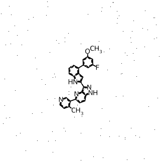 COc1cc(F)cc(-c2cccc3[nH]c(-c4n[nH]c5ccc(-c6cnccc6C)nc45)cc23)c1